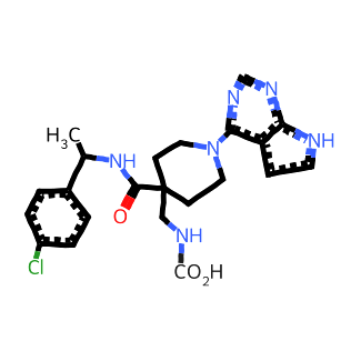 CC(NC(=O)C1(CNC(=O)O)CCN(c2ncnc3[nH]ccc23)CC1)c1ccc(Cl)cc1